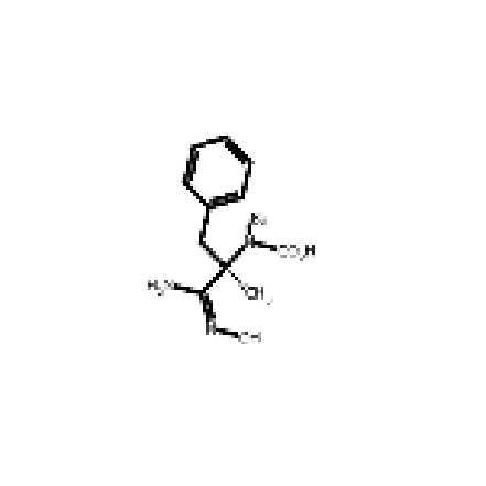 CC(C)(C)N(C(=O)O)[C@](C)(Cc1ccccc1)/C(N)=N\O